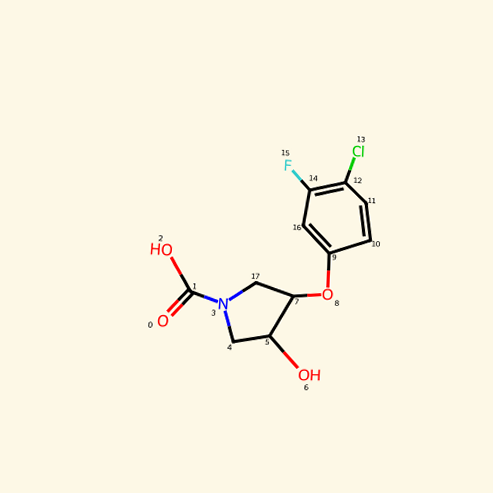 O=C(O)N1CC(O)C(Oc2ccc(Cl)c(F)c2)C1